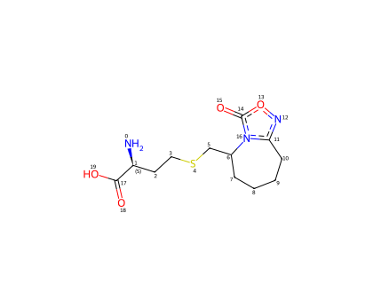 N[C@@H](CCSCC1CCCCc2noc(=O)n21)C(=O)O